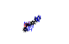 CN(C)c1ncc(-c2ccc(C[C@](I)(C#N)NC(=O)[C@@H]3CCCCN3)cc2)cn1